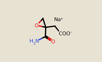 NC(=O)C1(CC(=O)[O-])CO1.[Na+]